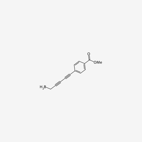 BCC#CC#Cc1ccc(C(=O)OC)cc1